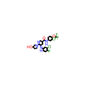 O=C(Nc1ccc(OC(F)(F)Cl)cc1)c1cnc(N2CC[C@@H](O)C2)c(Nc2ccc(F)c(Cl)c2)c1